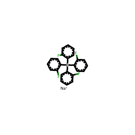 Fc1ccccc1[B-](c1ccccc1F)(c1ccccc1F)c1ccccc1F.[Na+]